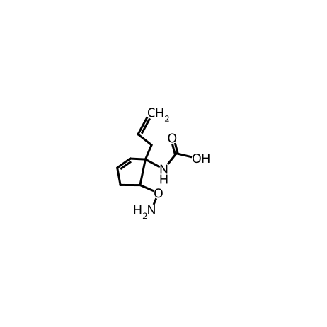 C=CCC1(NC(=O)O)C=CCC1ON